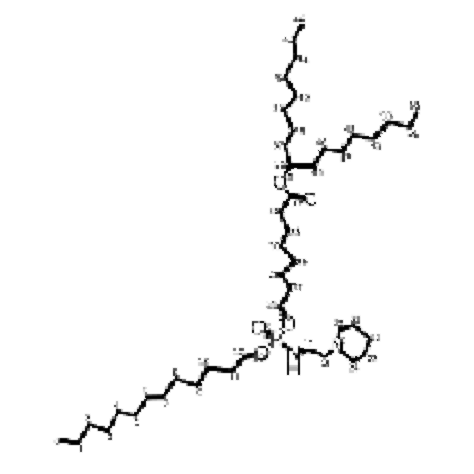 CCCCCCCCCCCCCOP(=O)(NCCN1CCCCC1)OCCCCCCCC(=O)OC(CCCCCCCC)CCCCCCCC